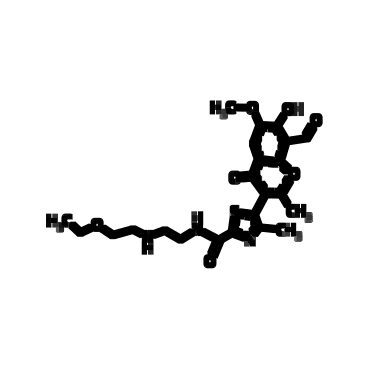 CCOCCNCCNC(=O)c1nc(C)c(-c2c(C)oc3c(C=O)c(O)c(OC)cc3c2=O)s1